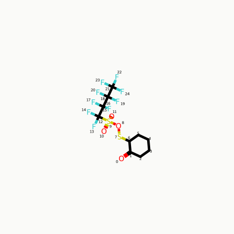 O=C1CCCCC1SOS(=O)(=O)C(F)(F)C(F)(F)C(F)(F)C(F)(F)F